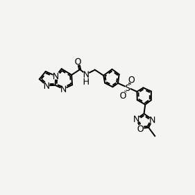 Cc1nc(-c2cccc(S(=O)(=O)c3ccc(CNC(=O)c4cnc5nccn5c4)cc3)c2)no1